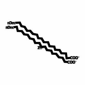 CCCCCCCCCCCCCCCCCCCCCCCCCCCCC(=O)[O-].CCCCCCCCCCCCCCCCCCCCCCCCCCCCC(=O)[O-].[Zn+2]